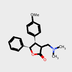 COc1ccc([C@@H]2C(CN(C)C)C(=O)O[C@@H]2c2ccccc2)cc1